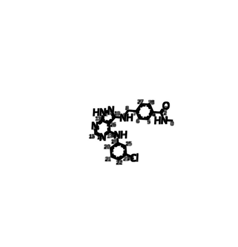 CNC(=O)c1ccc(CNc2n[nH]c3ncnc(Nc4cccc(Cl)c4)c23)cc1